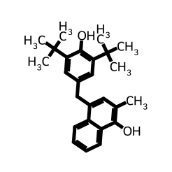 Cc1cc(Cc2cc(C(C)(C)C)c(O)c(C(C)(C)C)c2)c2ccccc2c1O